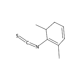 CC1=C(N=C=S)C(C)CC=C1